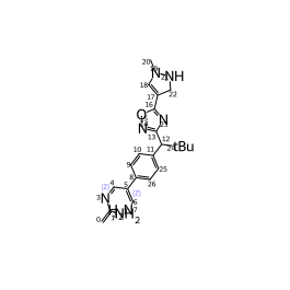 C=C(N)/N=C\C(=C/N)c1ccc(C(c2noc(C3=CN(C)NC3)n2)C(C)(C)C)cc1